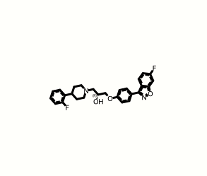 O[C@@H](COc1ccc(-c2noc3cc(F)ccc23)cc1)CN1CCC(c2ccccc2F)CC1